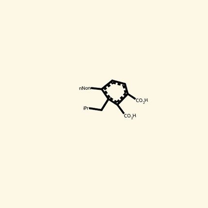 CCCCCCCCCc1ccc(C(=O)O)c(C(=O)O)c1CC(C)C